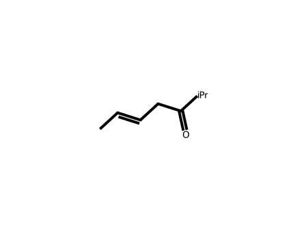 C/C=C/CC(=O)C(C)C